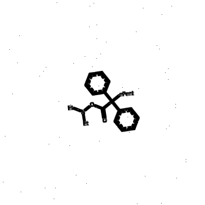 CCCCCC(C(=O)ON(CC)CC)(c1ccccc1)c1ccccc1